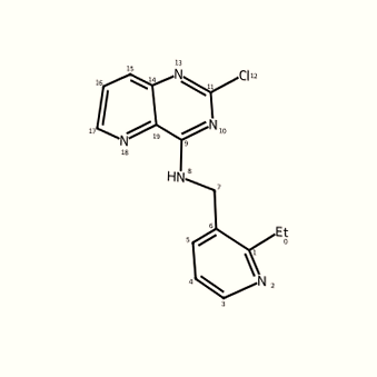 CCc1ncccc1CNc1nc(Cl)nc2cccnc12